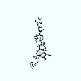 CC(C)C1=C2[C@H]3CC[C@@H]4[C@@]5(C)CC=C(c6cn(CC(=O)OC(C)(C)C)nn6)C(C)(C)[C@@H]5CC[C@@]4(C)[C@]3(C)CC[C@@]2(C(O)C[N+](=O)[O-])CC1=O